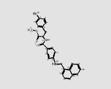 COC(=O)C(Cc1ccc(Br)cc1)NC(=O)c1ccc(NCc2cccc3ccccc23)cc1